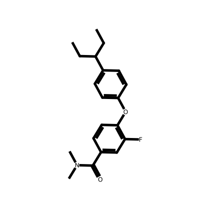 CCC(CC)c1ccc(Oc2ccc(C(=O)N(C)C)cc2F)cc1